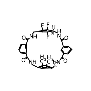 Cc1c2ccc(c1C)CNC(=O)c1cccc(c1)C(=O)NC[C@H]1C(F)=C(F)C(=CC1F)CNC(=O)c1cccc(c1)C(=O)NC2